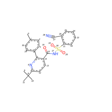 Cc1ccc(-c2nc(C(C)(C)C)ccc2C(=O)NS(=O)(=O)c2ccccc2C#N)cc1